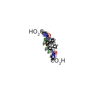 CC(C)c1ccccc1-c1cc(Sc2cc(-c3ccccc3C(C)C)c(/C=C/C(=O)N3CCC(C(=O)O)CC3)c(F)c2F)c(F)c(F)c1/C=C/C(=O)N1CCC(C(=O)O)CC1